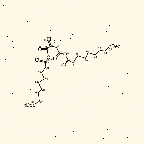 C=C(CC(=O)OC(=O)CCCCCCCCCCCCCCCCC)C(=O)OC(=O)CCCCCCCCCCCCCCCCC